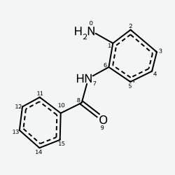 Nc1ccc[c]c1NC(=O)c1ccccc1